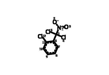 O=[N+]([O-])C(Cl)(Cl)c1ccccc1Cl